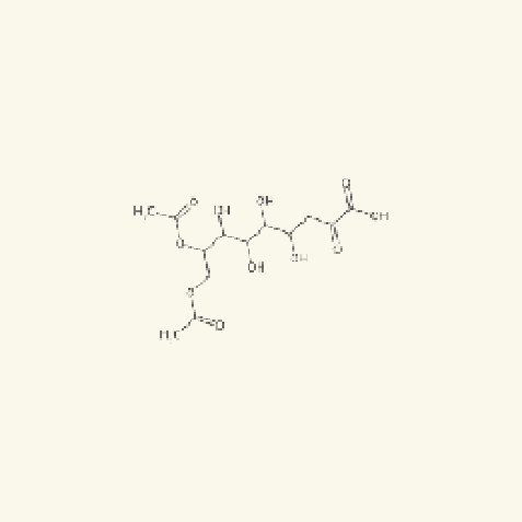 CC(=O)OCC(OC(C)=O)C(O)C(O)C(O)C(O)CC(=O)C(=O)O